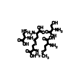 CSCC[C@H](N)C(=O)O.NC(CSCC[C@H](N)C(=O)O)C(=O)O.N[C@@H](CO)C(=O)O.N[C@@H](CS)C(=O)O